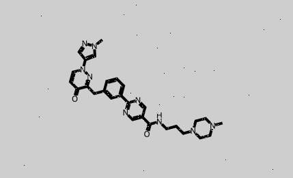 CN1CCN(CCCNC(=O)c2cnc(-c3cccc(Cc4nn(-c5cnn(C)c5)ccc4=O)c3)nc2)CC1